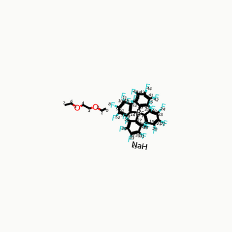 CCOCCOCC.Fc1c(F)c(F)c([B-](c2c(F)c(F)c(F)c(F)c2F)(c2c(F)c(F)c(F)c(F)c2F)c2c(F)c(F)c(F)c(F)c2F)c(F)c1F.[NaH]